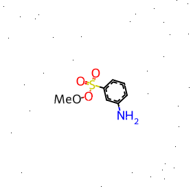 COOS(=O)(=O)c1cccc(N)c1